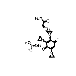 C=CC(N)=O.O=C1C=C(N2CC2)C(=O)C(N2CC2)=C1N1CC1.OB(O)O